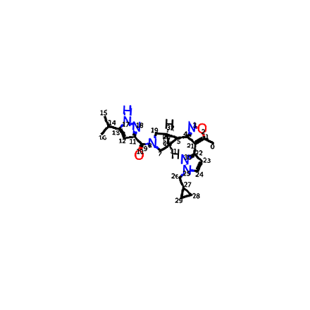 Cc1onc(C2[C@H]3CN(C(=O)c4cc(C(C)C)[nH]n4)C[C@@H]23)c1-c1ccn(CC2CC2)n1